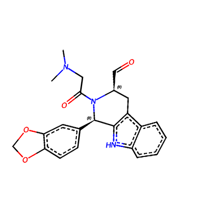 CN(C)CC(=O)N1[C@H](c2ccc3c(c2)OCO3)c2[nH]c3ccccc3c2C[C@@H]1C=O